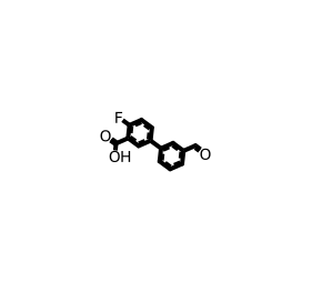 O=Cc1cccc(-c2ccc(F)c(C(=O)O)c2)c1